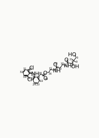 CC(C)(CO)C(O)C(=O)NCCC(=O)NCCOC(=O)Cc1ccccc1Nc1c(Cl)cccc1Cl